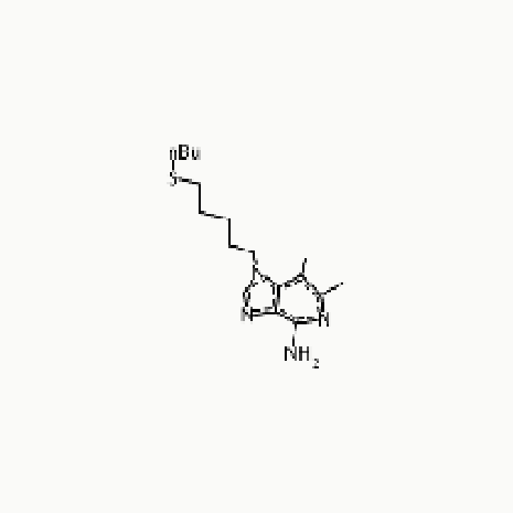 CCCCSCCCCCn1cnc2c(N)nc(C)c(C)c21